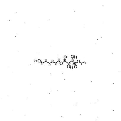 CCOC(=O)C(O)C(O)C(=O)OCCCCCCO